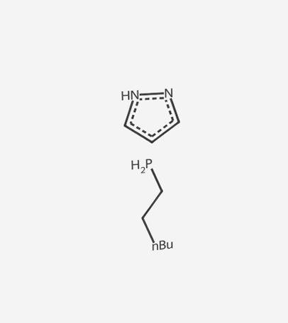 CCCCCCP.c1cn[nH]c1